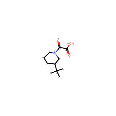 CC(C)(C)C1CCCN(C(=O)C(=O)O)C1